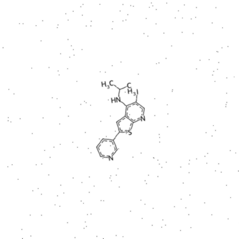 CC(C)Nc1c(I)cnc2sc(-c3cccnc3)cc12